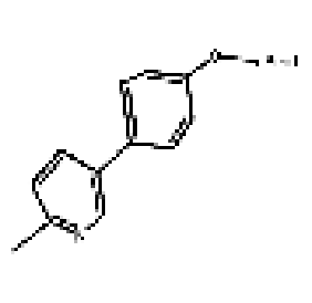 CCCCCOc1ccc(-c2ccc(C)nc2)cc1